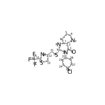 O=c1c2ncccc2nc(SCc2csc(C(F)(F)F)n2)n1-c1ccc(Cl)cc1